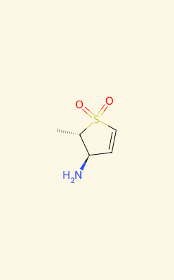 C[C@H]1[C@H](N)C=CS1(=O)=O